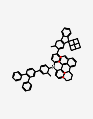 CC1CC2=C(C=C1c1ccc(N(c3ccccc3-c3cccc4cccc(C5CCCCC5)c34)C3C=CC(c4ccc(-c5ccccc5)c(-c5ccccc5)c4)=CC3C)cc1)C1(c3ccccc32)C2CC3CC4CC1C342